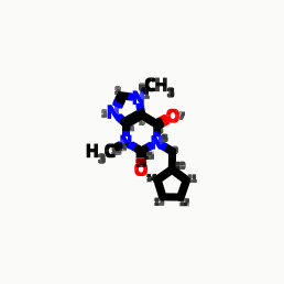 Cn1cnc2c1c(=O)n(CC1CCCC1)c(=O)n2C